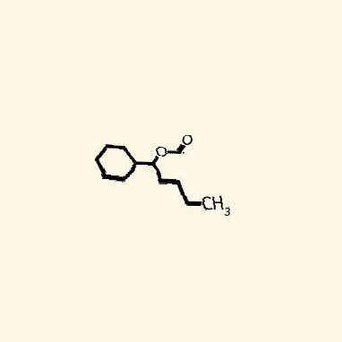 CCCCC(O[C]=O)C1CCCCC1